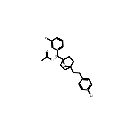 CC(=O)O[C@H](c1cccc(F)c1)C12CCC(CCc3ccc(Cl)cc3)(CC1)N2